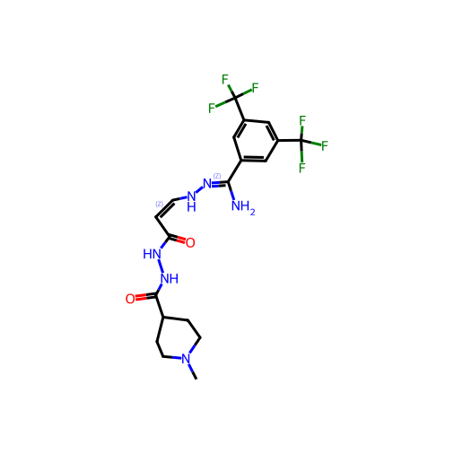 CN1CCC(C(=O)NNC(=O)/C=C\N/N=C(\N)c2cc(C(F)(F)F)cc(C(F)(F)F)c2)CC1